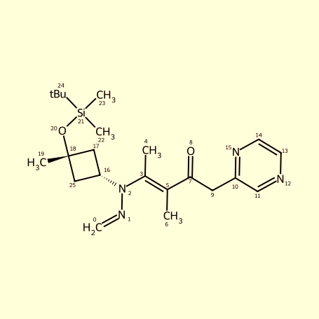 C=NN(/C(C)=C(\C)C(=O)Cc1cnccn1)[C@H]1C[C@@](C)(O[Si](C)(C)C(C)(C)C)C1